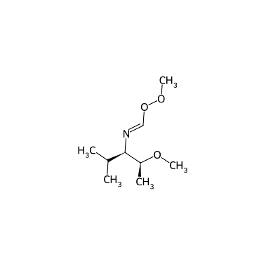 COO/C=N/[C@H](C(C)C)[C@H](C)OC